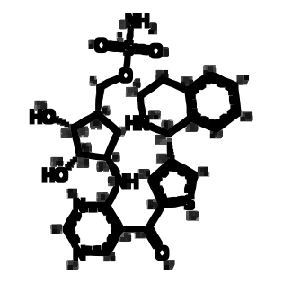 NS(=O)(=O)OC[C@H]1C[C@@H](Nc2ncncc2C(=O)c2cc([C@@H]3NCCc4ccccc43)cs2)[C@H](O)[C@@H]1O